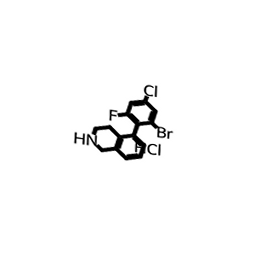 Cl.Fc1cc(Cl)cc(Br)c1-c1cccc2c1CCNC2